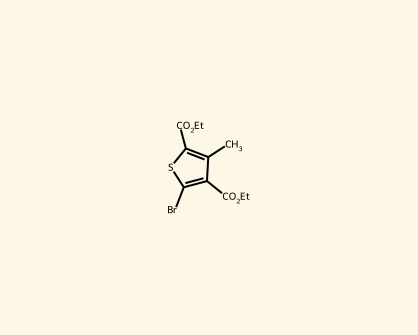 CCOC(=O)c1sc(Br)c(C(=O)OCC)c1C